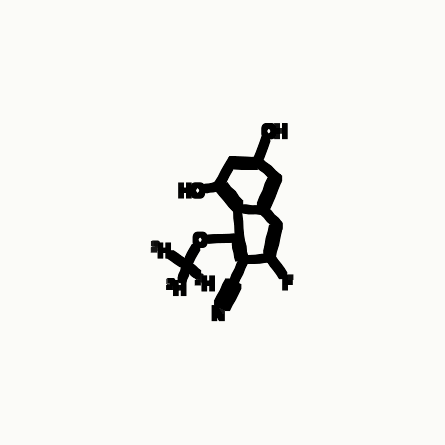 [2H]C([2H])([2H])Oc1c(C#N)c(F)cc2cc(O)cc(O)c12